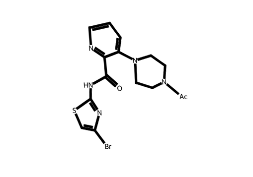 CC(=O)N1CCN(c2cccnc2C(=O)Nc2nc(Br)cs2)CC1